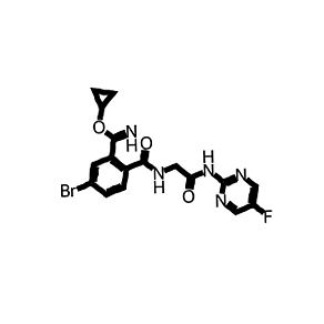 N=C(OC1CC1)c1cc(Br)ccc1C(=O)NCC(=O)Nc1ncc(F)cn1